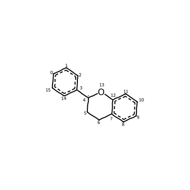 c1ccc([C]2CCc3ccccc3O2)cc1